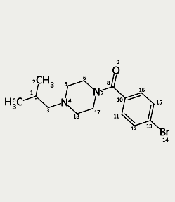 C[C](C)CN1CCN(C(=O)c2ccc(Br)cc2)CC1